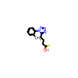 Cc1ccccc1-n1nnnc1CCCC(O)=S